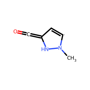 CN1[C]=CC(=C=O)N1